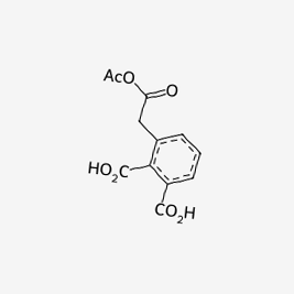 CC(=O)OC(=O)Cc1cccc(C(=O)O)c1C(=O)O